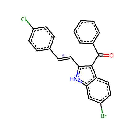 O=C(c1ccccc1)c1c(/C=C/c2ccc(Cl)cc2)[nH]c2cc(Br)ccc12